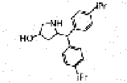 CC(C)c1ccc(C(c2ccc(C(C)C)cc2)C2CC(O)CN2)cc1